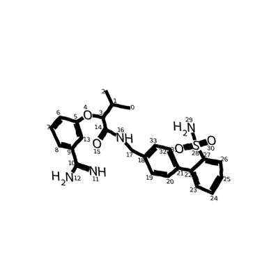 CC(C)C(Oc1cccc(C(=N)N)c1)C(=O)NCc1ccc(-c2ccccc2S(N)(=O)=O)cc1